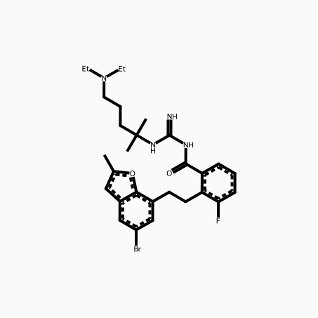 CCN(CC)CCCC(C)(C)NC(=N)NC(=O)c1cccc(F)c1CCc1cc(Br)cc2cc(C)oc12